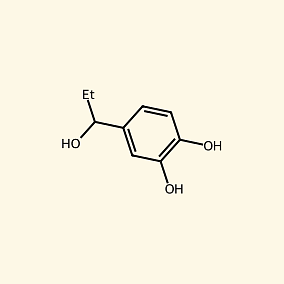 CCC(O)c1ccc(O)c(O)c1